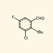 CC(C)(C)c1c(Cl)cc(F)cc1C=O